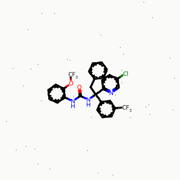 O=C(Nc1ccccc1OC(F)(F)F)NC(Cc1ccccc1)(c1cccc(C(F)(F)F)c1)c1ccc(Cl)cn1